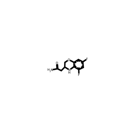 NC(=O)CC1COc2cc(F)cc(F)c2N1